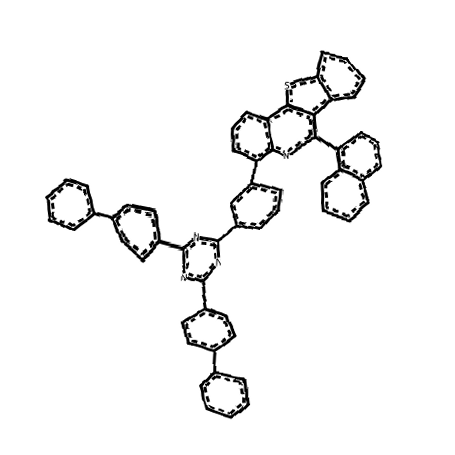 c1ccc(-c2ccc(-c3nc(-c4ccc(-c5ccccc5)cc4)nc(-c4cccc(-c5cccc6c5nc(-c5cccc7ccccc57)c5c7ccccc7sc65)c4)n3)cc2)cc1